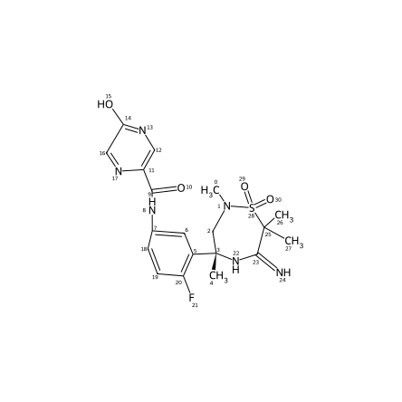 CN1C[C@@](C)(c2cc(NC(=O)c3cnc(O)cn3)ccc2F)NC(=N)C(C)(C)S1(=O)=O